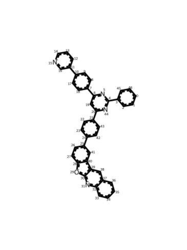 c1ccc(-c2nc(-c3ccc(-c4cccnc4)cc3)cc(-c3ccc(-c4ccc5oc6nc7ccccc7cc6c5c4)cc3)n2)cc1